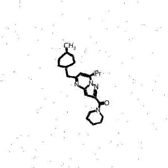 CC1CCC(Cc2cc(C(C)C)n3nc(C(=O)N4CCCCC4)cc3n2)CC1